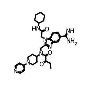 CCC(=O)C(=O)N(Cc1nc2cc(C(=N)N)ccc2n1CC(=O)NC1CCCCC1)C1CCN(c2ccncc2)CC1